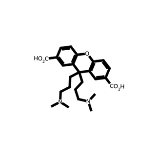 CN(C)CCCC1(CCCN(C)C)c2cc(C(=O)O)ccc2Oc2ccc(C(=O)O)cc21